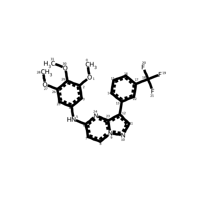 COc1cc(Nc2ccn3ncc(-c4cccc(C(F)(F)F)c4)c3n2)cc(OC)c1OC